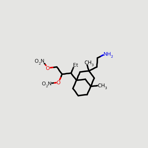 CCC(C(CO[N+](=O)[O-])O[N+](=O)[O-])C12CCCC(C)(CC(C)(CCN)C1)C2